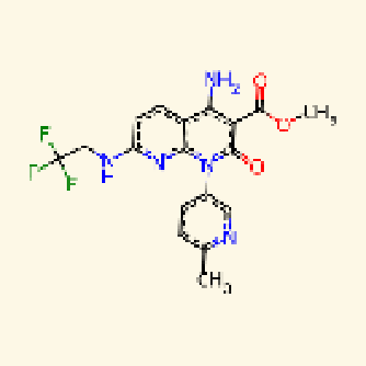 COC(=O)c1c(N)c2ccc(NCC(F)(F)F)nc2n(-c2ccc(C)nc2)c1=O